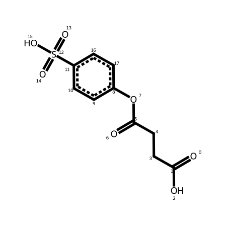 O=C(O)CCC(=O)Oc1ccc(S(=O)(=O)O)cc1